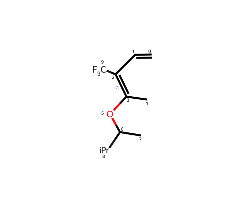 C=C/C(=C(\C)OC(C)C(C)C)C(F)(F)F